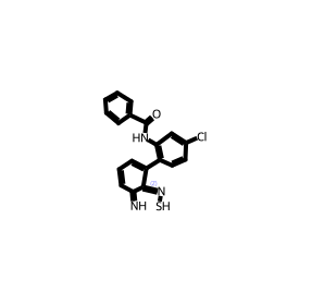 N=C1C=CC=C(c2ccc(Cl)cc2NC(=O)c2ccccc2)/C1=N/S